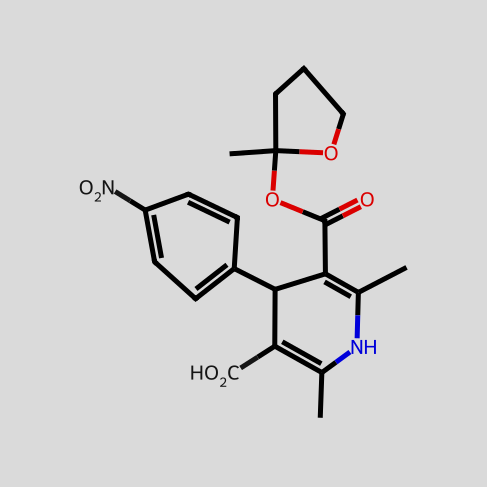 CC1=C(C(=O)O)C(c2ccc([N+](=O)[O-])cc2)C(C(=O)OC2(C)CCCO2)=C(C)N1